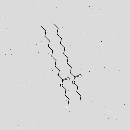 CCCCCCCCCCCC(=O)OCCCC.CCCCCCCCCCCC(=O)OCCCC